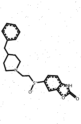 O=c1[nH]c2ccc([S+]([O-])CCN3CCC(Cc4ccccc4)CC3)cc2o1